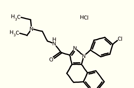 CCN(CC)CCNC(=O)c1nn(-c2ccc(Cl)cc2)c2c1CCc1ccccc1-2.Cl